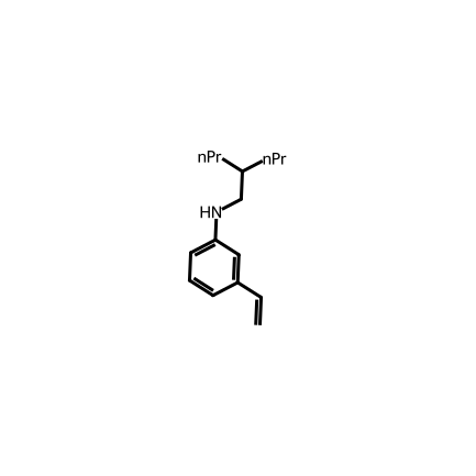 C=Cc1cccc(NCC(CCC)CCC)c1